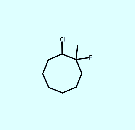 CC1(F)CCCCCCC1Cl